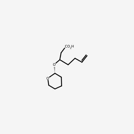 C=CCCC(CC(=O)O)O[C@@H]1CCCCO1